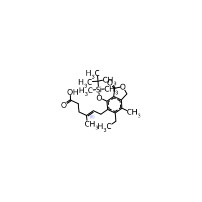 CCc1c(C)c2c(c(O[Si](C)(C)C(C)(C)C)c1C/C=C(\C)CCC(=O)O)C(=O)OC2